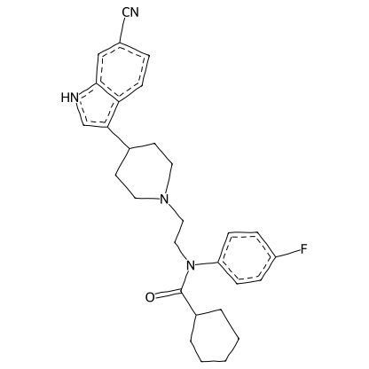 N#Cc1ccc2c(C3CCN(CCN(C(=O)C4CCCCC4)c4ccc(F)cc4)CC3)c[nH]c2c1